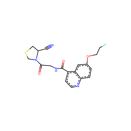 N#CC1CSCN1C(=O)CNC(=O)c1ccnc2ccc(OCCF)cc12